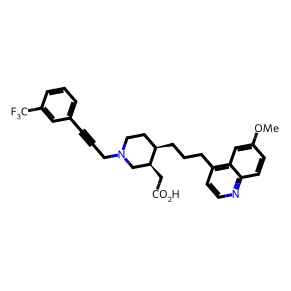 COc1ccc2nccc(CCC[C@@H]3CCN(CC#Cc4cccc(C(F)(F)F)c4)C[C@@H]3CC(=O)O)c2c1